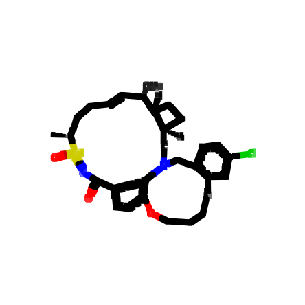 CO[C@H]1/C=C/CC[C@@H](C)/[SH](=O)=N\C(=O)c2ccc3c(c2)N(Cc2ccc(Cl)cc2CCCCO3)C[C@@H]2CC[C@H]21